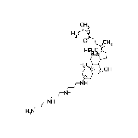 CC(C)OC(=O)CC[C@@H](C)C1CCC2C3C(C[C@H](O)[C@@]21C)[C@@]1(C)CC[C@H](NCCCNCCCNCCCN)CC1C[C@H]3O